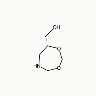 OC[C@H]1CNCOCO1